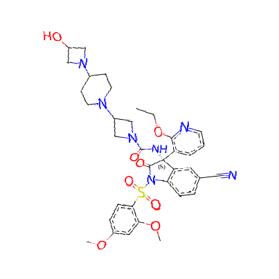 CCOc1ncccc1[C@]1(NC(=O)N2CC(N3CCC(N4CC(O)C4)CC3)C2)C(=O)N(S(=O)(=O)c2ccc(OC)cc2OC)c2ccc(C#N)cc21